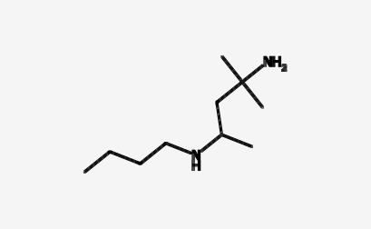 CCCCNC(C)CC(C)(C)N